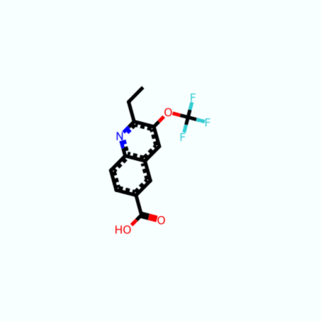 CCc1nc2ccc(C(=O)O)cc2cc1OC(F)(F)F